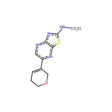 CCOC(=O)Nc1nc2ncc(C3=CCCOC3)nc2s1